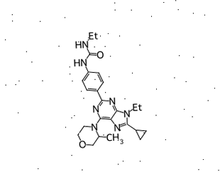 CCNC(=O)Nc1ccc(-c2nc(N3CCOCC3C)c3nc(C4CC4)n(CC)c3n2)cc1